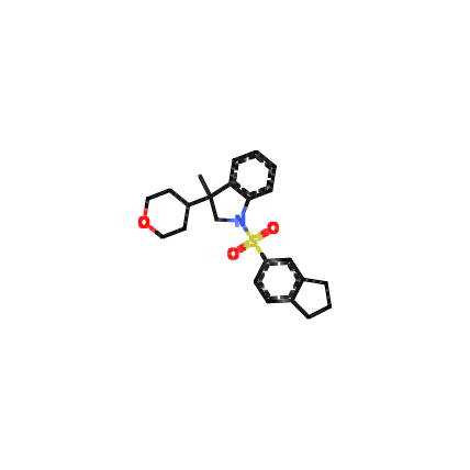 CC1(C2CCOCC2)CN(S(=O)(=O)c2ccc3c(c2)CCC3)c2ccccc21